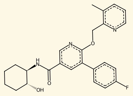 Cc1cccnc1COc1ncc(C(=O)N[C@@H]2CCCC[C@H]2O)cc1-c1ccc(F)cc1